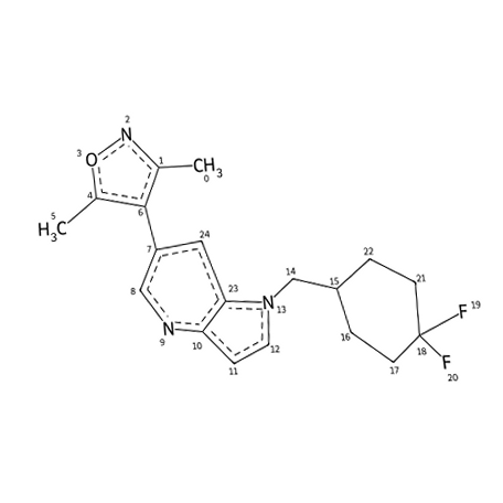 Cc1noc(C)c1-c1cnc2ccn(CC3CCC(F)(F)CC3)c2c1